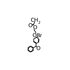 C=CC(=O)OCCOC1(Br)C=CC(C(=O)c2ccccc2)=CC1